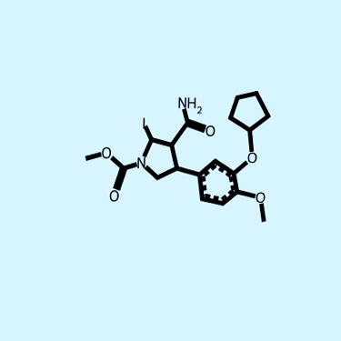 COC(=O)N1CC(c2ccc(OC)c(OC3CCCC3)c2)C(C(N)=O)C1I